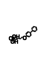 O=P(O)(O)CCCCOc1ccc(-c2ccccc2)cc1